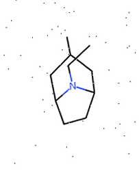 CCN1C2CCC1CC(C)C2